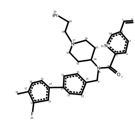 C=Cc1ccc(C(=O)N(Cc2ccc(-c3ccc(C)c(F)c3)cc2)C2CCN(CCC(C)C)CC2)nc1